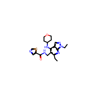 CCc1nc2c(cnn2CC)c(NC2CCOCC2)c1CNC(=O)c1cncs1